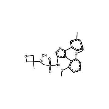 COc1cccc(OC)c1-n1c(NS(=O)(=O)C[C@@H](O)C2(C)COC2)nnc1-c1cncc(C)c1